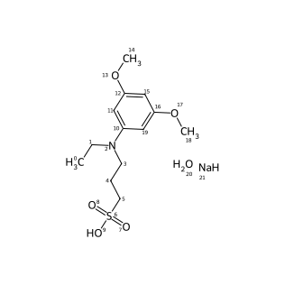 CCN(CCCS(=O)(=O)O)c1cc(OC)cc(OC)c1.O.[NaH]